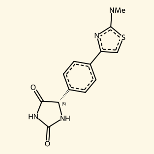 CNc1nc(-c2ccc([C@@H]3NC(=O)NC3=O)cc2)cs1